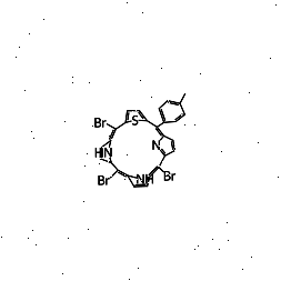 Cc1ccc(/C2=C3\C=CC(=N3)/C(Br)=c3/cc/c([nH]3)=C(\Br)C3C=C/C(=C(\Br)c4ccc2s4)N3)cc1